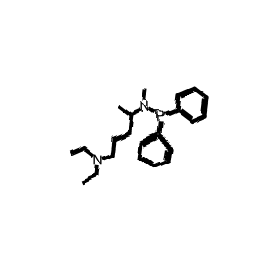 CCN(CC)CCCC(C)N(C)P(c1ccccc1)c1ccccc1